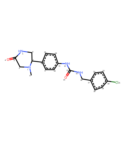 CN1CC(=O)NCC1c1ccc(NC(=O)NCc2ccc(Cl)cc2)cc1